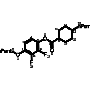 CCCCCOc1ccc(OC(=O)C2CCC(CCCCC)CC2)c(F)c1F